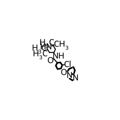 CC1(C)CC(NC(=O)c2ccc(Oc3cccc4nccn34)c(Cl)c2)CC(C)(C)N1